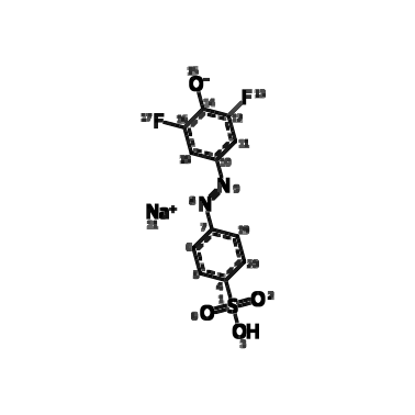 O=S(=O)(O)c1ccc(N=Nc2cc(F)c([O-])c(F)c2)cc1.[Na+]